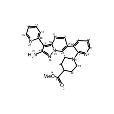 COC(=O)C1CCN(c2ncccc2-c2cnc3c(-c4ccccn4)c(N)nn3c2)CC1